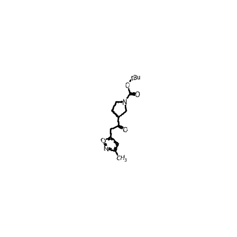 Cc1cc(CC(=O)C2CCN(C(=O)OC(C)(C)C)C2)on1